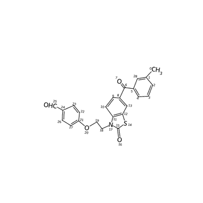 Cc1cccc(C(=O)c2ccc3c(c2)sc(=O)n3CCOc2ccc(C=O)cc2)c1